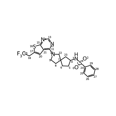 O=S(=O)(NC1CCC2(CCN(c3ncnc4sc(CC(F)(F)F)cc34)C2)C1)c1ccccc1